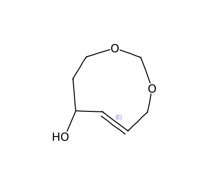 OC1/C=C/COCOCC1